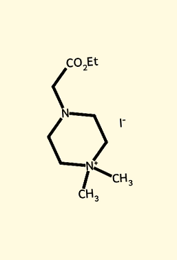 CCOC(=O)CN1CC[N+](C)(C)CC1.[I-]